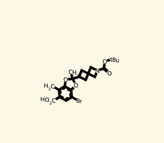 Cc1c(C(=O)O)cc(Br)c2c1OC(C)(C1CC3(C1)CN(C(=O)OC(C)(C)C)C3)O2